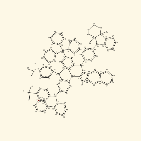 CC(C)(C)c1ccc(N(c2ccc3c(c2)N(c2ccc(C(C)(C)C)cc2)c2cc([Si](c4ccccc4)(c4ccccc4)c4ccccc4)cc4c2B3c2sc3cc5ccccc5cc3c2N4c2ccc(N3c4ccccc4C4(C)CCCCC34C)cc2)c2ccccc2-c2ccccc2)cc1